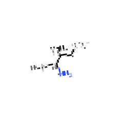 N[C@H](CCC(=O)O)C(=O)O.[MgH2]